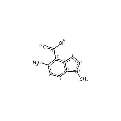 Cc1ccc2c(ccn2C)c1C(=O)O